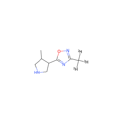 [2H]C([2H])([2H])c1noc(C2CNCC2C)n1